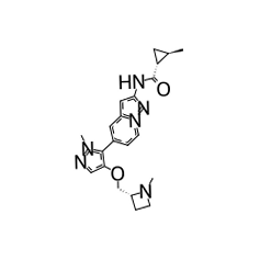 C[C@@H]1C[C@H]1C(=O)Nc1cc2cc(-c3c(OC[C@H]4CCN4C)cnn3C)ccn2n1